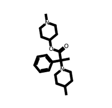 CC1CCN(C(C)(C(=O)OC2CCN(C)CC2)c2ccccc2)CC1